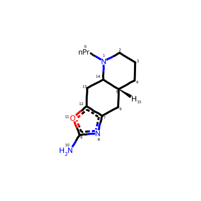 CCCN1CCC[C@@H]2Cc3nc(N)oc3CC21